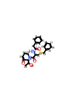 O=C(Cc1ccccc1)NC(CSCc1ccccc1)C(=O)N1CCC=C2OCC(=O)C21